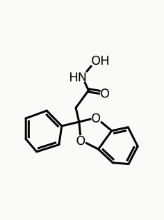 O=C(CC1(c2ccccc2)Oc2ccccc2O1)NO